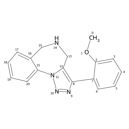 COc1ccccc1-c1nnn2c1CNCc1ccccc1-2